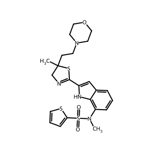 CN(c1cccc2cc(C3=NCC(C)(CCN4CCOCC4)S3)[nH]c12)S(=O)(=O)c1cccs1